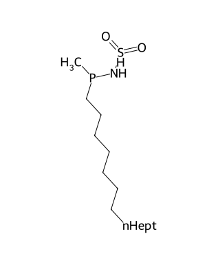 CCCCCCCCCCCCCCP(C)N[SH](=O)=O